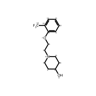 OC1CCN(CCOc2ccccc2C(F)(F)F)CC1